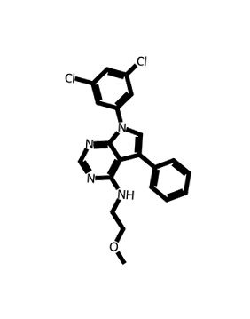 COCCNc1ncnc2c1c(-c1ccccc1)cn2-c1cc(Cl)cc(Cl)c1